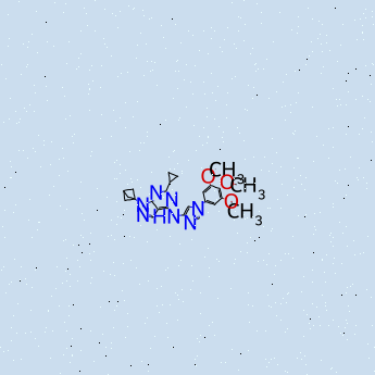 COc1cc(-n2cnc(Nc3nc(C4CC4)nc4c3cnn4C34CC(C3)C4)c2)cc(OC)c1OC